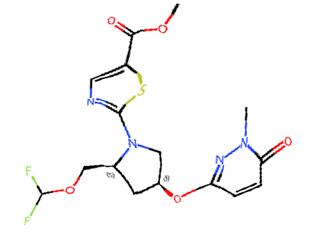 COC(=O)c1cnc(N2C[C@@H](Oc3ccc(=O)n(C)n3)C[C@H]2COC(F)F)s1